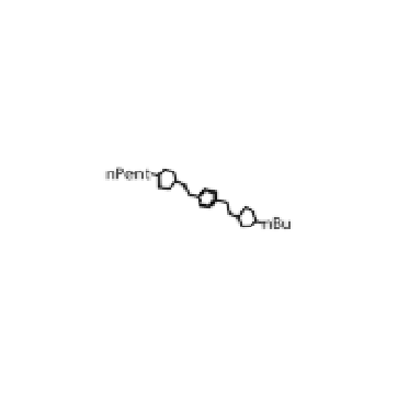 CCCCCC1CCC(CCc2ccc(CCC3CCC(CCCC)CC3)cc2)CC1